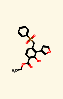 CCOC(=O)c1ccc(CS(=O)(=O)c2ccccc2)c(-c2ccoc2)c1O